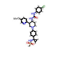 COc1ccc(C2CN(c3ccc(C4(NS(C)(=O)=O)CC4)cc3)CCC2NC(=O)Nc2ccc(Cl)cc2)nc1